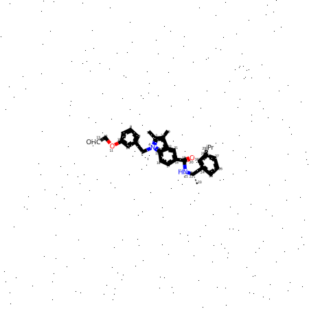 Cc1c(C)n(Cc2cccc(OCC=O)c2)c2ccc(C(=O)N[C@@H](C)c3cccc(C(C)C)c3)cc12